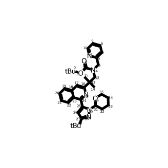 CC(C)(C)OC(=O)N(Cc1ccccn1)CC(C)(C)c1cc2ccccc2c(-c2cc(C(C)(C)C)nn2C2CCCCO2)n1